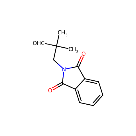 CC(C)(C=O)CN1C(=O)c2ccccc2C1=O